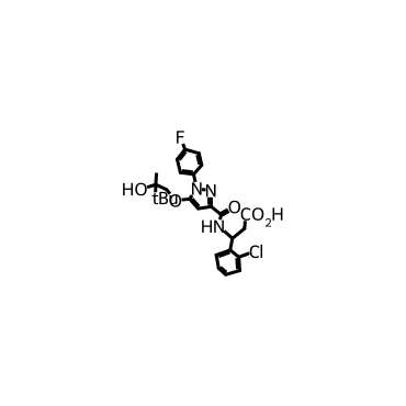 CC(C)(C)C(C)(O)COc1cc(C(=O)NC(CC(=O)O)c2ccccc2Cl)nn1-c1ccc(F)cc1